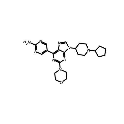 Nc1ncc(-c2nc(N3CCOCC3)nc3c2ncn3C2CCN(C3CCCC3)CC2)cn1